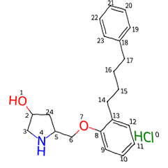 Cl.OC1CNC(COc2ccccc2CCCCc2ccccc2)C1